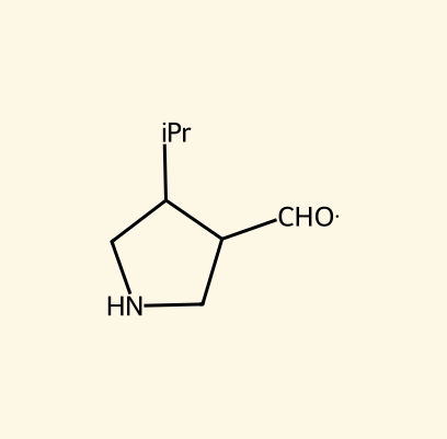 CC(C)C1CNCC1[C]=O